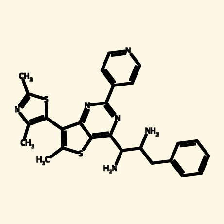 Cc1nc(C)c(-c2c(C)sc3c(C(N)C(N)Cc4ccccc4)nc(-c4ccncc4)nc23)s1